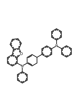 C1=CC(c2ccc(N(c3ccccc3)c3ccccc3)cc2)CC=C1N(c1ccccc1)c1cccc2c1oc1ccccc12